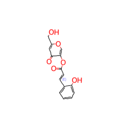 O=C(/C=C/c1ccccc1O)Oc1coc(CO)cc1=O